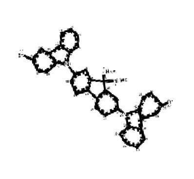 CCCCCCC1(CCCCCC)c2cc(-n3c4ccccc4c4cc(Br)ccc43)ccc2-c2ccc(-n3c4ccccc4c4cc(Br)ccc43)cc21